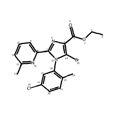 CCOC(=O)c1nc(-c2cccc(C)n2)n(-c2cc(Cl)ccc2C)c1Br